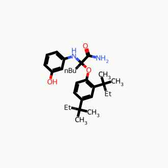 CCCCC(Nc1cccc(O)c1)(Oc1ccc(C(C)(C)CC)cc1C(C)(C)CC)C(N)=O